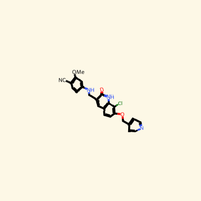 COc1cc(NCc2cc3ccc(OCc4ccncc4)c(Cl)c3[nH]c2=O)ccc1C#N